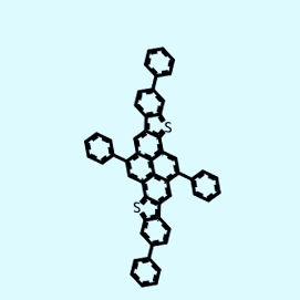 c1ccc(-c2ccc3c(c2)sc2c3cc3c(-c4ccccc4)cc4c5sc6cc(-c7ccccc7)ccc6c5cc5c(-c6ccccc6)cc2c3c54)cc1